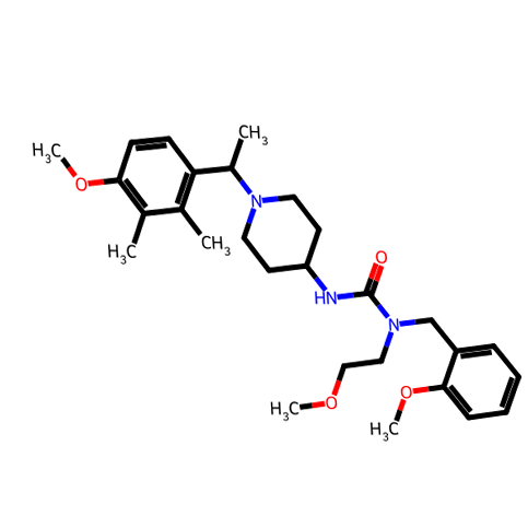 COCCN(Cc1ccccc1OC)C(=O)NC1CCN(C(C)c2ccc(OC)c(C)c2C)CC1